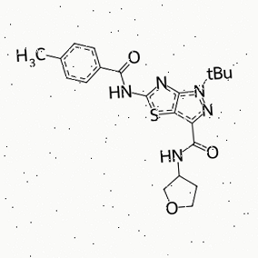 Cc1ccc(C(=O)Nc2nc3c(s2)c(C(=O)NC2CCOC2)nn3C(C)(C)C)cc1